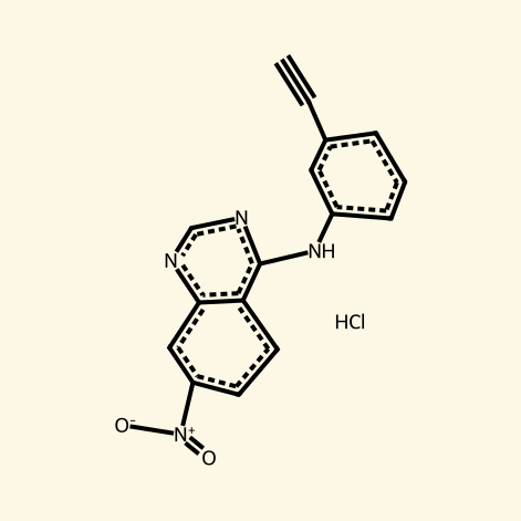 C#Cc1cccc(Nc2ncnc3cc([N+](=O)[O-])ccc23)c1.Cl